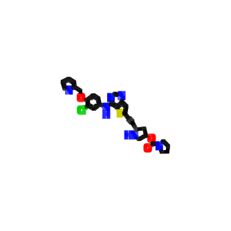 O=C(O[C@H]1CN[C@@H](C#Cc2cc3ncnc(Nc4ccc(OCc5ccccn5)c(Cl)c4)c3s2)C1)N1CCCC1